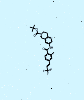 Cc1cc(C=CC(F)(F)F)ccc1C(=O)Nc1cnc2c(c1)CN(C(=O)OC(C)(C)C)CC2